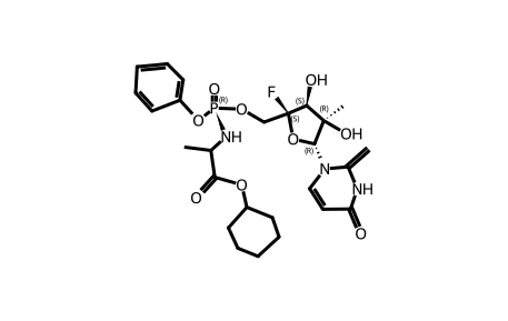 C=C1NC(=O)C=CN1[C@@H]1O[C@](F)(CO[P@](=O)(NC(C)C(=O)OC2CCCCC2)Oc2ccccc2)[C@@H](O)[C@@]1(C)O